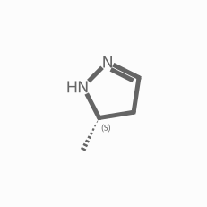 C[C@H]1CC=NN1